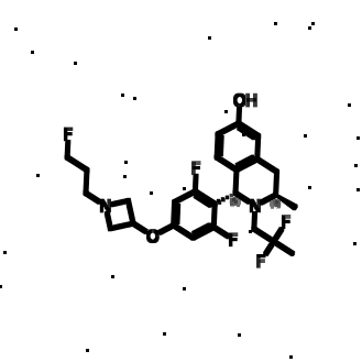 C[C@@H]1Cc2cc(O)ccc2[C@@H](c2c(F)cc(OC3CN(CCCF)C3)cc2F)N1CC(C)(F)F